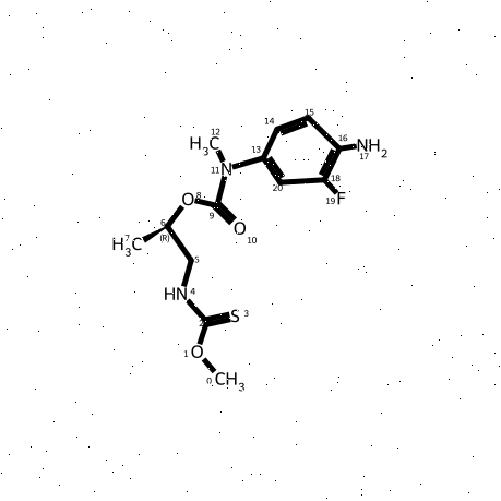 COC(=S)NC[C@@H](C)OC(=O)N(C)c1ccc(N)c(F)c1